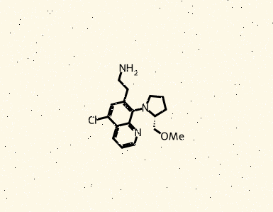 COC[C@H]1CCCN1c1c(CCN)cc(Cl)c2cccnc12